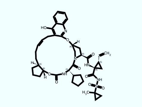 C=C[C@@H]1C[C@]1(NC(=O)[C@@H]1C[C@@H]2CN1C(=O)[C@H](C1CCCC1)NC(=O)O[C@@H]1CCC[C@H]1CCC=CCc1c(nc3ccccc3c1O)O2)C(=O)NS(=O)(=O)C1(C)CC1